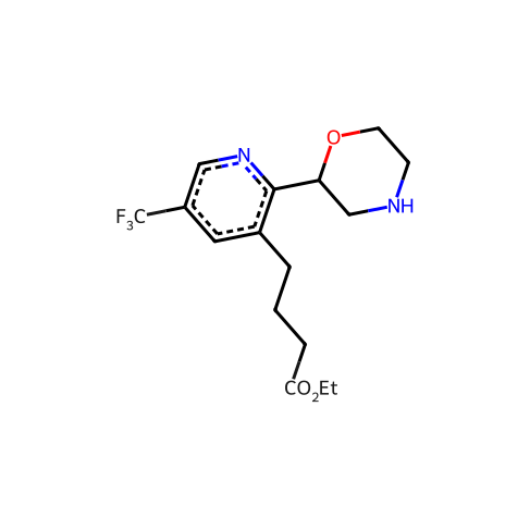 CCOC(=O)CCCc1cc(C(F)(F)F)cnc1C1CNCCO1